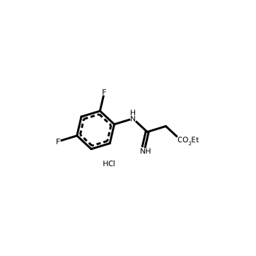 CCOC(=O)CC(=N)Nc1ccc(F)cc1F.Cl